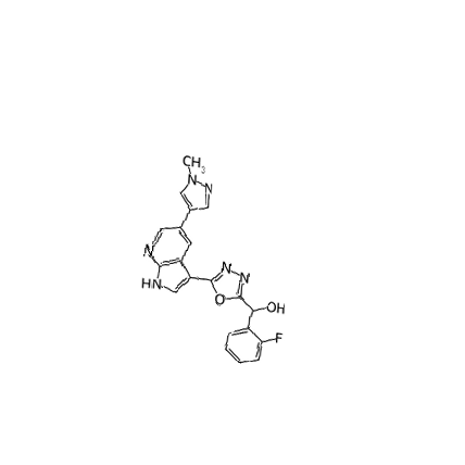 Cn1cc(-c2cnc3[nH]cc(-c4nnc(C(O)c5ccccc5F)o4)c3c2)cn1